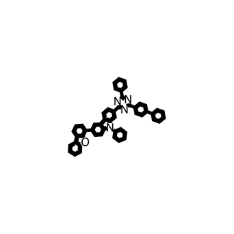 c1ccc(-c2ccc(-c3nc(-c4ccccc4)nc(-c4ccc5c6cc(-c7cccc8c7oc7ccccc78)ccc6n(-c6ccccc6)c5c4)n3)cc2)cc1